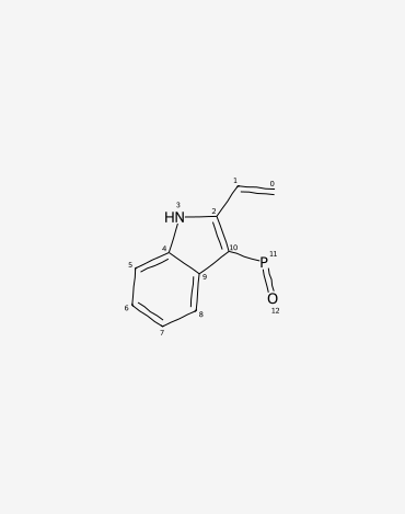 C=Cc1[nH]c2ccccc2c1P=O